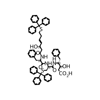 O=C(O)C[C@H](O)[C@@H](Cc1ccccc1)NC(=O)[C@@H](CSC(c1ccccc1)(c1ccccc1)c1ccccc1)NC(=O)[C@@H](Cc1ccccc1)NC(=O)C[C@H](O)C=CCCSC(c1ccccc1)(c1ccccc1)c1ccccc1